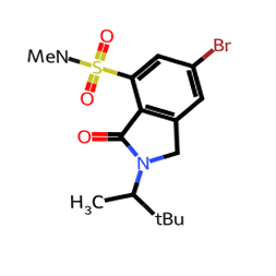 CNS(=O)(=O)c1cc(Br)cc2c1C(=O)N(C(C)C(C)(C)C)C2